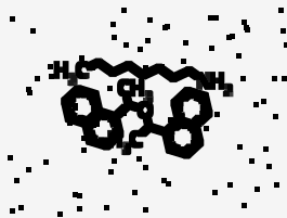 CC(OC(C)c1cccc2ccccc12)c1cccc2ccccc12.CCCCCCCCN